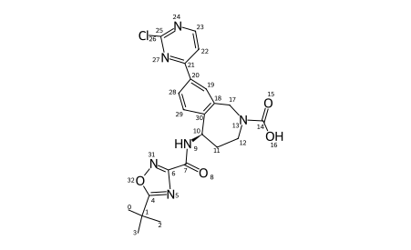 CC(C)(C)c1nc(C(=O)N[C@@H]2CCN(C(=O)O)Cc3cc(-c4ccnc(Cl)n4)ccc32)no1